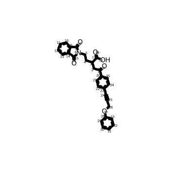 O=C(CC(CCN1C(=O)c2ccccc2C1=O)C(=O)O)c1ccc(C#CCOc2ccccc2)cc1